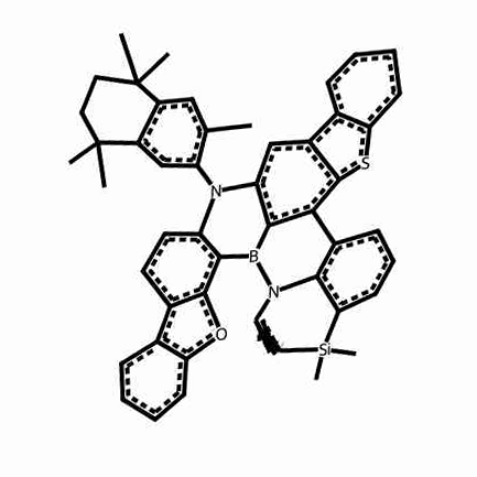 Cc1cc2c(cc1N1c3cc4c(sc5ccccc54)c4c3B(c3c1ccc1c3oc3ccccc31)N1c3ccccc3[Si](C)(C)c3cccc-4c31)C(C)(C)CCC2(C)C